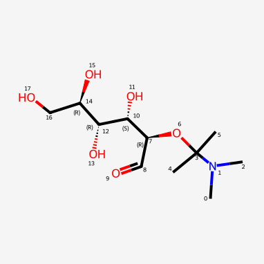 CN(C)C(C)(C)O[C@@H](C=O)[C@@H](O)[C@H](O)[C@H](O)CO